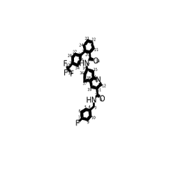 O=C(NCc1ccc(F)cc1)c1cnc2cc(NC(=O)c3ccccc3-c3ccc(C(F)(F)F)cc3)ccc2c1